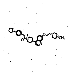 CN1CCN(CCOc2ccc3c(C4CCN(C(=O)Nc5ccc(N6CCCC6)cc5)CC4)ccnc3c2)CC1